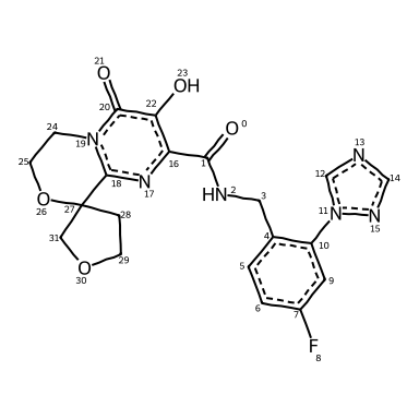 O=C(NCc1ccc(F)cc1-n1cncn1)c1nc2n(c(=O)c1O)CCOC21CCOC1